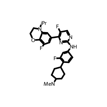 CNC1CCC(c2ccc(Nc3ncc(F)c(-c4cc(F)c5c(c4)N(C(C)C)CCO5)n3)cc2F)CC1